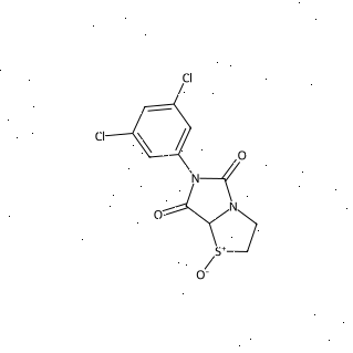 O=C1C2N(CC[S+]2[O-])C(=O)N1c1cc(Cl)cc(Cl)c1